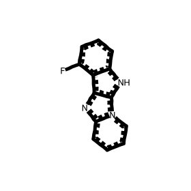 Fc1cccc2[nH]c3c(nc4ccccn43)c12